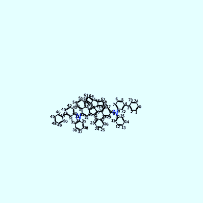 c1ccc(-c2cccc(N(c3ccccc3)c3ccc4c5c(c6ccccc6c4c3)-c3cc(N(c4ccccc4)c4cccc(-c6ccccc6)c4)c4ccccc4c3C53c4ccccc4-c4ccccc43)c2)cc1